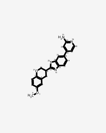 COc1ccc2c(c1)CC(c1nc3ccc(-c4ccnc(N)c4)cc3s1)CO2